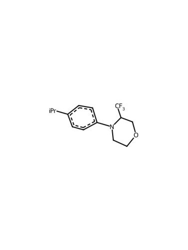 CC(C)c1ccc(N2CCOCC2C(F)(F)F)cc1